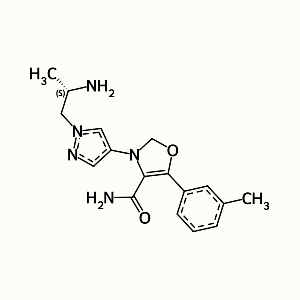 Cc1cccc(C2=C(C(N)=O)N(c3cnn(C[C@H](C)N)c3)CO2)c1